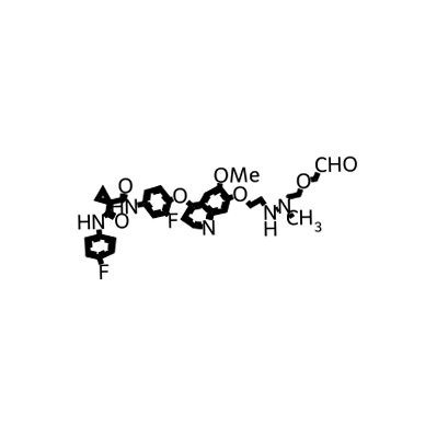 COc1cc2c(Oc3ccc(NC(=O)C4(C(=O)Nc5ccc(F)cc5)CC4)cc3F)ccnc2cc1OCCNN(C)CCOCC=O